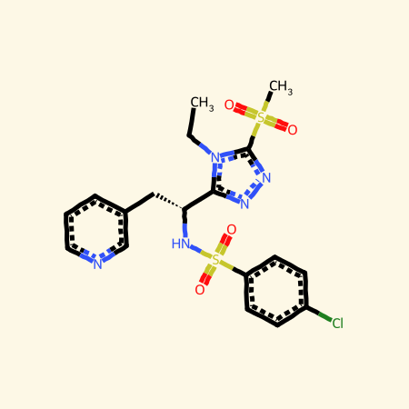 CCn1c([C@@H](Cc2cccnc2)NS(=O)(=O)c2ccc(Cl)cc2)nnc1S(C)(=O)=O